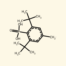 [CH2]c1cc(C(C)(C)C)c(P(=O)(O)O)c(C(C)(C)C)c1